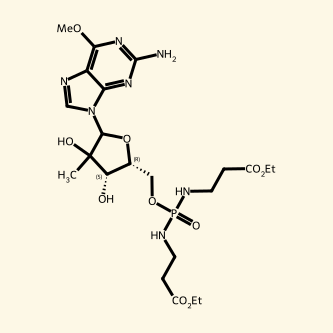 CCOC(=O)CCNP(=O)(NCCC(=O)OCC)OC[C@H]1OC(n2cnc3c(OC)nc(N)nc32)C(C)(O)[C@H]1O